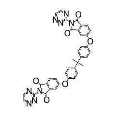 CC(C)(c1ccc(Oc2ccc3c(c2)C(=O)N(c2nccnn2)C3=O)cc1)c1ccc(Oc2ccc3c(c2)C(=O)N(c2nccnn2)C3=O)cc1